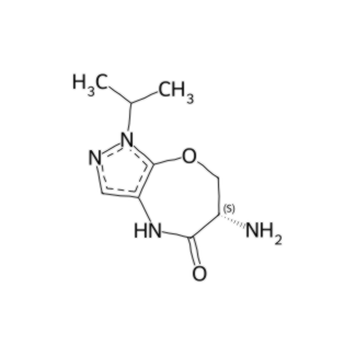 CC(C)n1ncc2c1OC[C@H](N)C(=O)N2